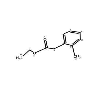 CCOC(=O)Cc1ccccc1C